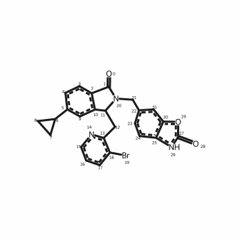 O=C1c2ccc(C3CC3)cc2C(Cc2ncccc2Br)N1Cc1ccc2[nH]c(=O)oc2c1